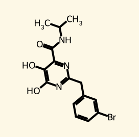 CC(C)NC(=O)c1nc(Cc2cccc(Br)c2)nc(O)c1O